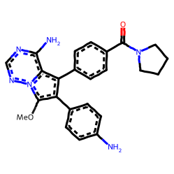 COc1c(-c2ccc(N)cc2)c(-c2ccc(C(=O)N3CCCC3)cc2)c2c(N)ncnn12